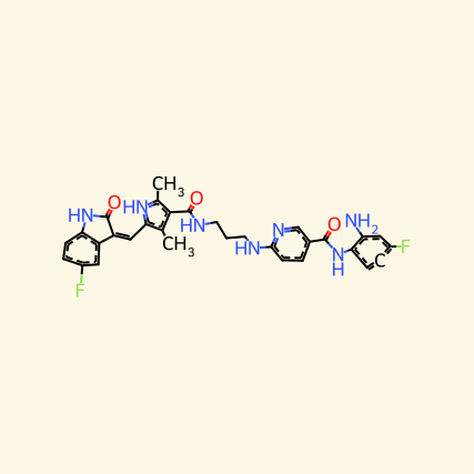 Cc1[nH]c(C=C2C(=O)Nc3ccc(F)cc32)c(C)c1C(=O)NCCCNc1ccc(C(=O)Nc2ccc(F)cc2N)cn1